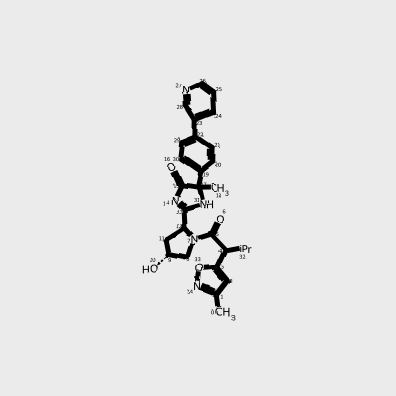 Cc1cc(C(C(=O)N2C[C@H](O)CC2C2=NC(=O)C(C)(c3ccc(-c4cccnc4)cc3)N2)C(C)C)on1